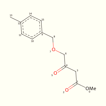 COC(=O)CC(=O)COCc1ccc(C)cc1